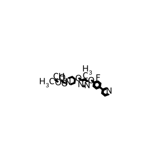 Cc1c(Oc2ccc(-c3cccnc3)cc2F)ncnc1OC1CCN(OC(=O)OC(C)C)CC1